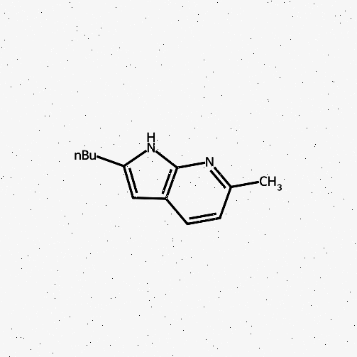 CCCCc1cc2ccc(C)nc2[nH]1